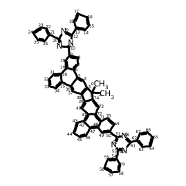 CC1(C)c2cc3c4ccc(-c5nc(-c6ccccc6)nc(-c6ccccc6)n5)cc4c4ccccc4c3cc2-c2cc3c4ccccc4c4cc(-c5nc(-c6ccccc6)nc(-c6ccccc6)n5)ccc4c3cc21